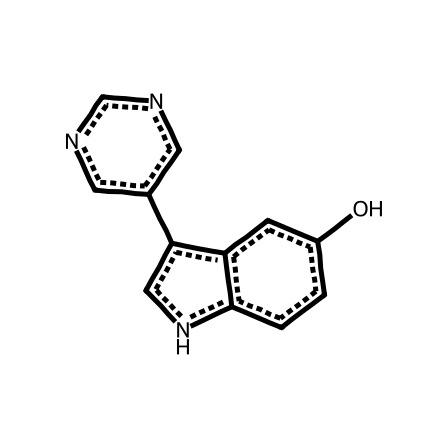 Oc1ccc2[nH]cc(-c3cncnc3)c2c1